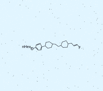 CCCCCCOc1ccc(C2CCC(CCC3CCC(C/C=C/F)CC3)CC2)cc1